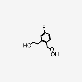 OCCc1cc(F)ccc1COO